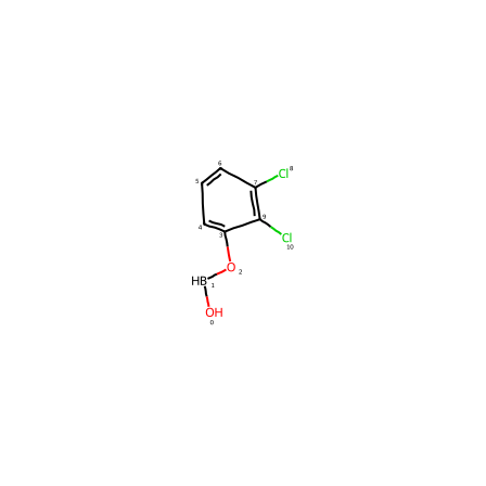 OBOc1cccc(Cl)c1Cl